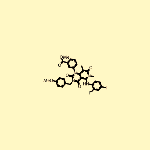 COC(=O)c1cccc(-n2c(=O)n(Cc3ccc(OC)cc3)c(=O)c3c(Nc4ccc(I)cc4F)n(C)c(=O)c(C)c32)c1